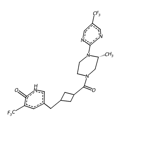 C[C@@H]1CN(C(=O)C2CC(Cc3c[nH]c(=O)c(C(F)(F)F)c3)C2)CCN1c1ncc(C(F)(F)F)cn1